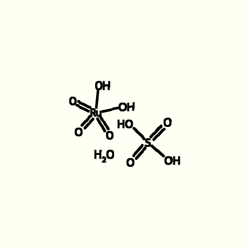 O.O=S(=O)(O)O.[O]=[Ru](=[O])(=[O])([OH])[OH]